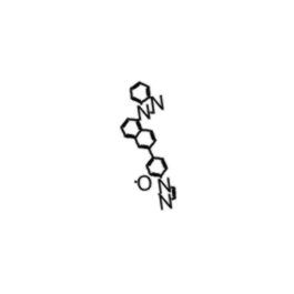 COc1cc(-c2ccc3c(-n4cnc5ccccc54)cccc3c2)ccc1-n1ccnc1